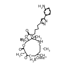 B[C@@H]1CC(=O)[C@@H](C)C(=O)O[C@H](CC)[C@@]2(C)OC(=O)N(CCCCn3cc(-c4cccc(N)c4)nn3)[C@@H]2[C@@H](C)NC[C@H](C)C[C@]1(C)OC